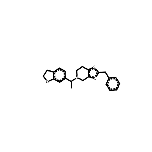 CC(c1ccc2c(c1)OCC2)N1CCc2sc(Cc3ccccc3)nc2C1